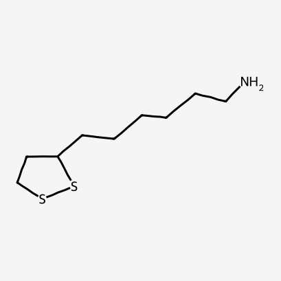 NCCCCCCC1CCSS1